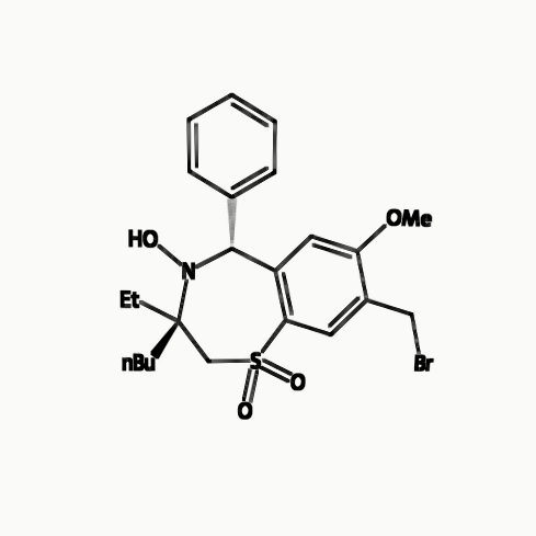 CCCC[C@]1(CC)CS(=O)(=O)c2cc(CBr)c(OC)cc2[C@@H](c2ccccc2)N1O